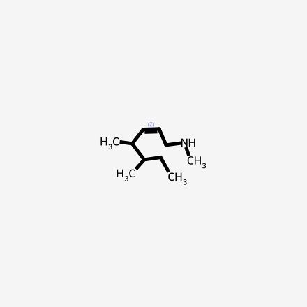 CCC(C)C(C)/C=C\CNC